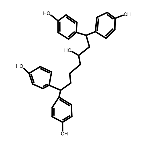 Oc1ccc(C(CCCC(O)CC(c2ccc(O)cc2)c2ccc(O)cc2)c2ccc(O)cc2)cc1